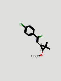 CC1(C)[C@H](/C=C(\Cl)c2ccc(Cl)cc2)[C@H]1OC(=O)O